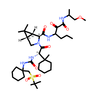 CCCC(NC(=O)[C@@H]1[C@@H]2[C@H](CN1C(=O)[C@@H](NC(=O)NC1(CS(=O)(=O)C(C)(C)C)CCCCC1)C1(C)CCCCC1)C2(C)C)C(=O)C(=O)NC(C)COC